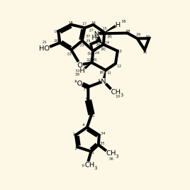 Cc1ccc(C#CC(=O)N(C)[C@@H]2CC[C@H]3[C@H]4Cc5ccc(O)c6c5[C@@]3(CCN4CC3CC3)[C@H]2O6)cc1C